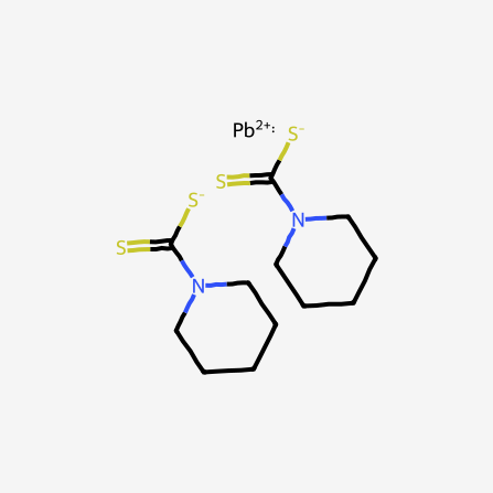 S=C([S-])N1CCCCC1.S=C([S-])N1CCCCC1.[Pb+2]